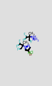 CC(CF)(C(F)F)n1cc(Br)cn1.CC(CF)(NN)C(F)F.Cl